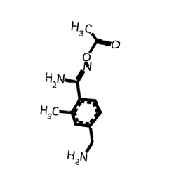 CC(=O)O/N=C(\N)c1ccc(CN)cc1C